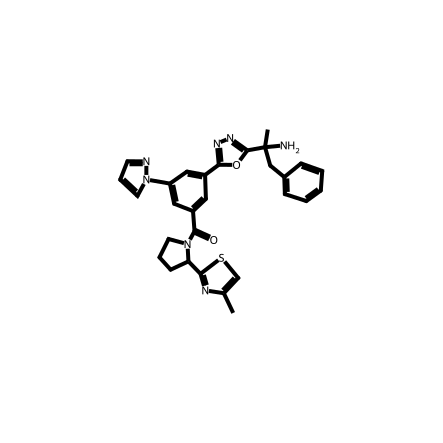 Cc1csc(C2CCCN2C(=O)c2cc(-c3nnc(C(C)(N)Cc4ccccc4)o3)cc(-n3cccn3)c2)n1